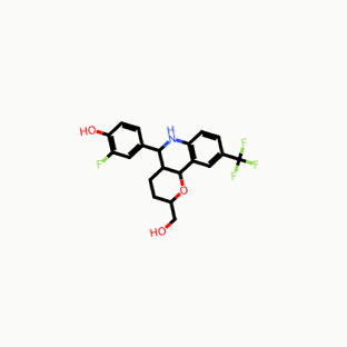 OCC1CCC2C(c3ccc(O)c(F)c3)Nc3ccc(C(F)(F)F)cc3C2O1